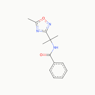 Cc1nc(C(C)(C)NC(=O)c2ccccc2)no1